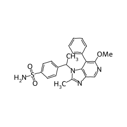 COc1ncc2nc(C)n(C(C)c3ccc(S(N)(=O)=O)cc3)c2c1-c1ccccc1